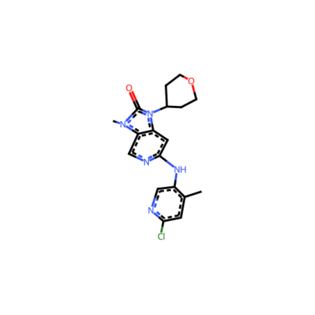 Cc1cc(Cl)ncc1Nc1cc2c(cn1)n(C)c(=O)n2C1CCOCC1